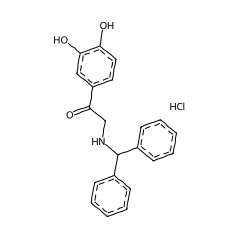 Cl.O=C(CNC(c1ccccc1)c1ccccc1)c1ccc(O)c(O)c1